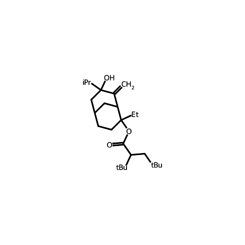 C=C1C2CC(CCC2(CC)OC(=O)C(CC(C)(C)C)C(C)(C)C)CC1(O)C(C)C